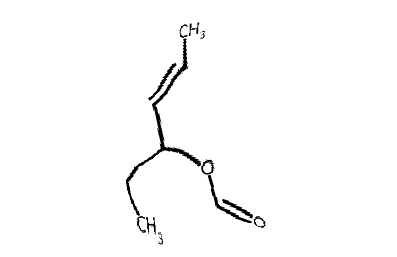 CC=CC(CC)OC=O